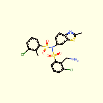 Cc1nc2ccc(N(S(=O)(=O)c3cccc(Cl)c3C)S(=O)(=O)c3cccc(Cl)c3CN)cc2s1